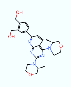 C[C@H]1COCCN1c1nc(N2CCOC[C@@H]2C)c2ccc(-c3ccc(CO)c(CO)c3)nc2n1